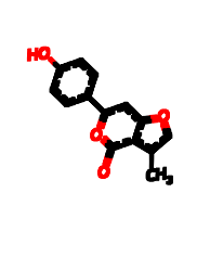 Cc1coc2cc(-c3ccc(O)cc3)oc(=O)c12